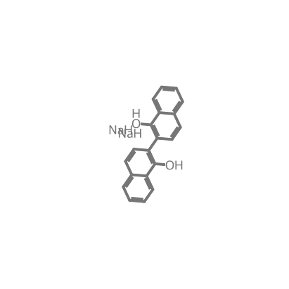 Oc1c(-c2ccc3ccccc3c2O)ccc2ccccc12.[NaH].[NaH]